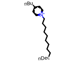 CCCCCCCCCCCCCCCCCCC[n+]1ccc(CCCC)cc1